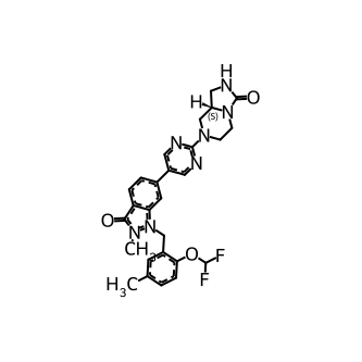 Cc1ccc(OC(F)F)c(Cn2c3cc(-c4cnc(N5CCN6C(=O)NC[C@H]6C5)nc4)ccc3c(=O)n2C)c1